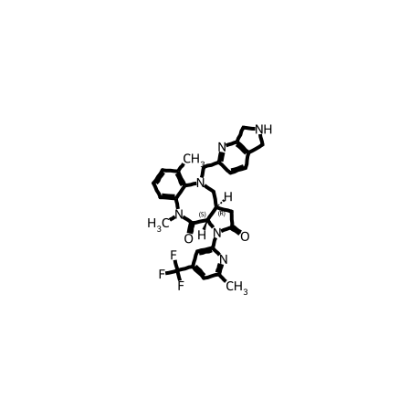 Cc1cc(C(F)(F)F)cc(N2C(=O)C[C@@H]3CN(Cc4ccc5c(n4)CNC5)c4c(C)cccc4N(C)C(=O)[C@H]32)n1